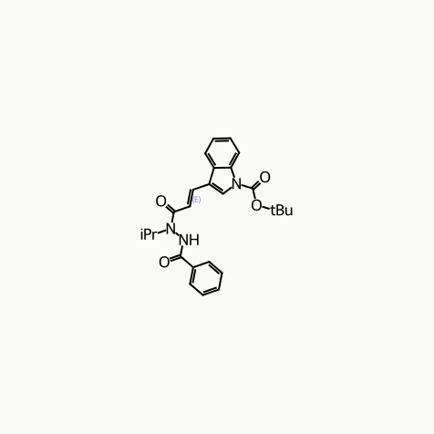 CC(C)N(NC(=O)c1ccccc1)C(=O)/C=C/c1cn(C(=O)OC(C)(C)C)c2ccccc12